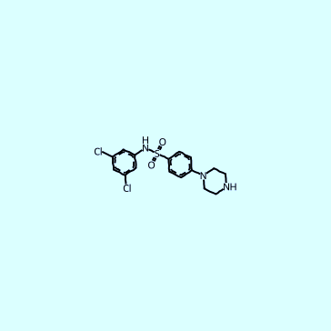 O=S(=O)(Nc1cc(Cl)cc(Cl)c1)c1ccc(N2CCNCC2)cc1